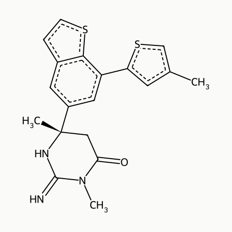 Cc1csc(-c2cc([C@]3(C)CC(=O)N(C)C(=N)N3)cc3ccsc23)c1